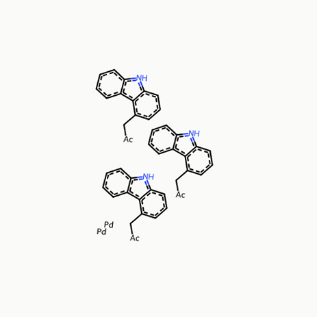 CC(=O)Cc1cccc2[nH]c3ccccc3c12.CC(=O)Cc1cccc2[nH]c3ccccc3c12.CC(=O)Cc1cccc2[nH]c3ccccc3c12.[Pd].[Pd]